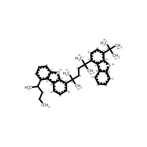 CCCC(C)c1cccc2oc3c(C(C)(C)CCC(C)(C)c4ccc(C(C)(C)C)c5sc6ccccc6c45)cccc3c12